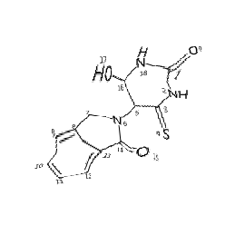 O=C1NC(=S)C(N2Cc3ccccc3C2=O)C(O)N1